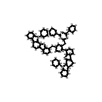 c1ccc(-c2nc(Cc3cc(Cc4cccc5c4sc4c5ccc5c6ccccc6n(-c6ccccc6)c54)cnc3-c3cccc4c3sc3c4ccc4c5ccccc5n(-c5ccccc5)c43)nc(-c3ccccc3)n2)cc1